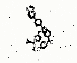 CN1CCN(C(=O)c2ccc3nc(-c4ccc(-c5ccc6[nH]ccc6c5)cc4)n(C[C@H]4CCN(C(=O)C5CC5)C4)c3c2)CC1